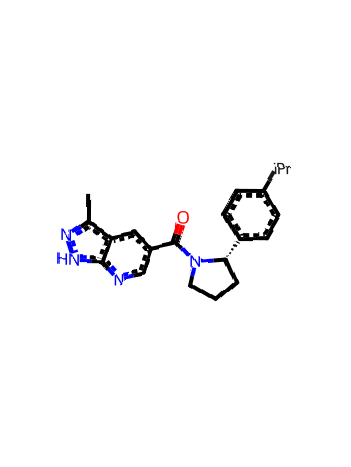 Cc1n[nH]c2ncc(C(=O)N3CCC[C@H]3c3ccc(C(C)C)cc3)cc12